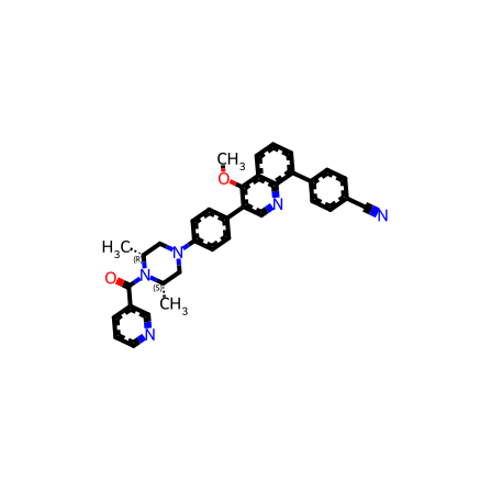 COc1c(-c2ccc(N3C[C@@H](C)N(C(=O)c4cccnc4)[C@@H](C)C3)cc2)cnc2c(-c3ccc(C#N)cc3)cccc12